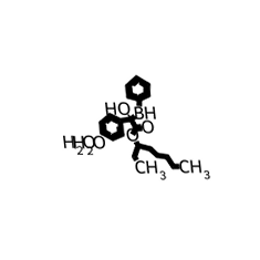 CCCCCC(CC)OC(=O)[C@](O)(Bc1ccccc1)c1ccccc1.O.O